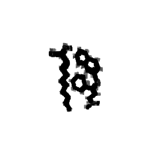 CCCCCCCCCC(=O)O.CNCCC(Oc1ccc2ccccc2c1)C1CCCCC1